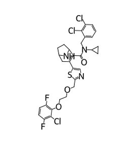 O=C(C1=C(c2cnc(COCCOc3c(F)ccc(F)c3Cl)s2)CC2CCC1N2)N(Cc1cccc(Cl)c1Cl)C1CC1